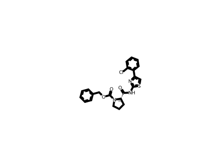 O=C(Nc1nc(-c2ccccc2Cl)cs1)[C@@H]1CCCN1C(=O)OCc1ccccc1